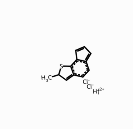 CC1C=c2ccc3c(c2S1)C=CC=3.[Cl-].[Cl-].[Hf+2]